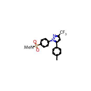 CNS(=O)(=O)c1ccc(-n2nc(C(F)(F)F)cc2-c2ccc(C)cc2)cc1